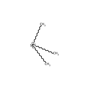 CCCCCCCCCCCCOP(=S)(OCCCCCCCCCCCC)SCCCCCCCCCCCC